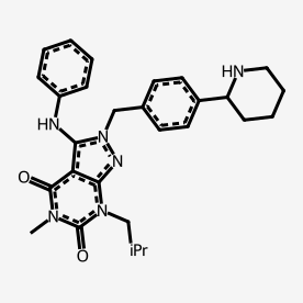 CC(C)Cn1c(=O)n(C)c(=O)c2c(Nc3ccccc3)n(Cc3ccc(C4CCCCN4)cc3)nc21